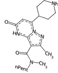 CCCCCN(C)C(=O)c1c(C)nn2c(C3CCNCC3)cc(=O)[nH]c12